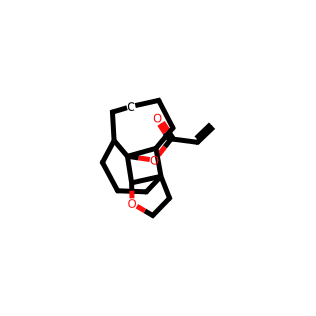 C=CC(=O)OC12C3CCCCC1C1(CCC3)CCOC12